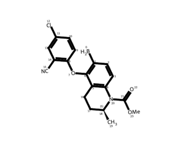 Bc1ccc2c(c1Oc1ccc(Cl)cc1C#N)CC[C@H](C)N2C(=O)OC